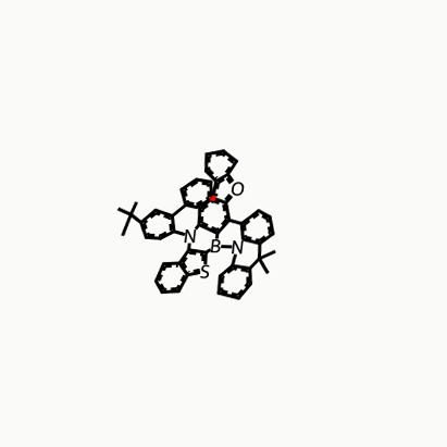 CC(C)(C)c1ccc(N2c3cc4c(oc5ccccc54)c4c3B(c3sc5ccccc5c32)N2c3ccccc3C(C)(C)c3cccc-4c32)c(-c2ccccc2)c1